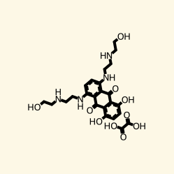 O=C(O)C(=O)O.O=C1c2c(O)ccc(O)c2C(=O)c2c(NCCNCCO)ccc(NCCNCCO)c21